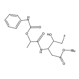 CC(OC(=O)Nc1ccccc1)C(=O)NC(CC(=O)OC(C)(C)C)C(O)CF